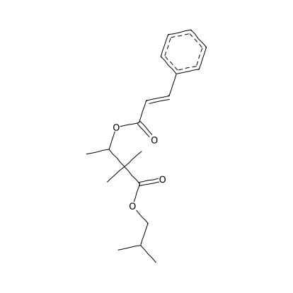 CC(C)COC(=O)C(C)(C)C(C)OC(=O)C=Cc1ccccc1